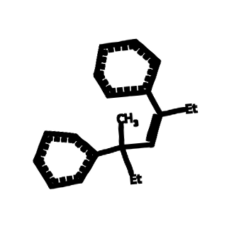 CC/C(=C/C(C)(CC)c1ccccc1)c1ccccc1